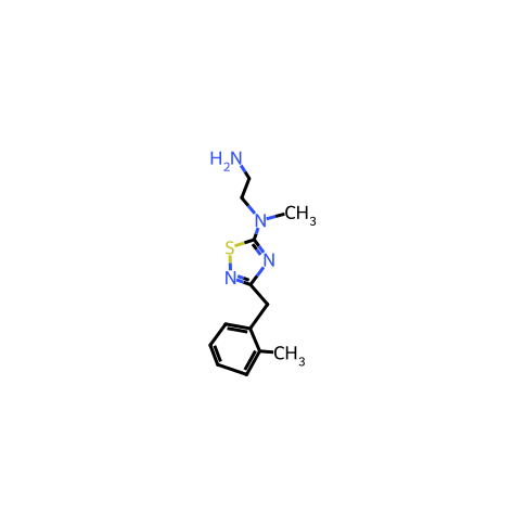 Cc1ccccc1Cc1nsc(N(C)CCN)n1